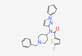 O=C(c1ccc(F)s1)N(c1ccn(-c2ccccc2)n1)C1CCN(Cc2ccccc2)CC1